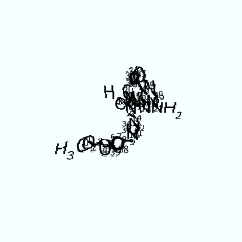 COCCOc1ccc(CN2CCN(CCn3c(=O)n(C)n4c5c(nc34)N(N)CN=C5c3ccco3)CC2)cc1